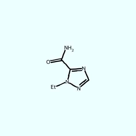 CCn1ncnc1C(N)=O